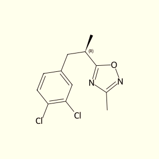 Cc1noc([C@H](C)Cc2ccc(Cl)c(Cl)c2)n1